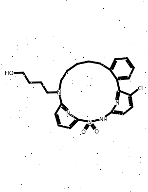 O=S1(=O)Nc2ccc(Cl)c(n2)-c2ccccc2CCCCCN(CCCCO)c2cccc1n2